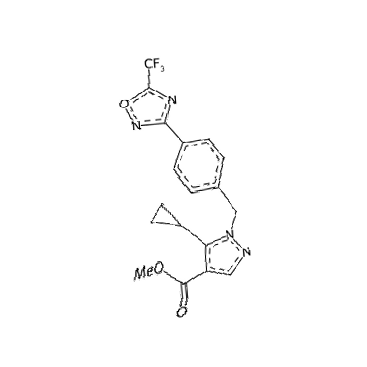 COC(=O)c1cnn(Cc2ccc(-c3noc(C(F)(F)F)n3)cc2)c1C1CC1